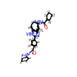 O=C(NC1CCCC1)c1ccc(-c2nc3cc(NC(=O)C4CCCC4)ccc3[nH]2)cc1